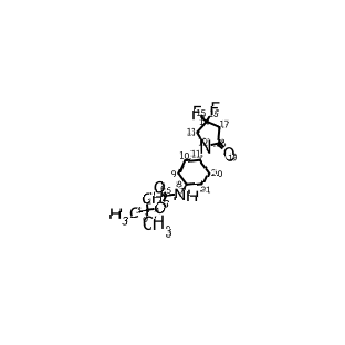 CC(C)(C)OC(=O)N[C@H]1CC[C@H](N2CC(F)(F)CC2=O)CC1